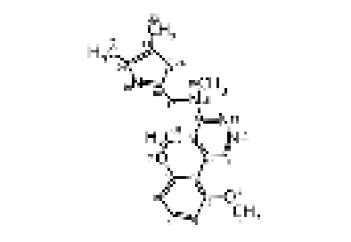 COc1cccc(OC)c1-c1cnnc(N(C)Cc2nc(C)c(C)s2)n1